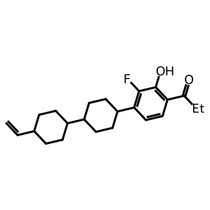 C=CC1CCC(C2CCC(c3ccc(C(=O)CC)c(O)c3F)CC2)CC1